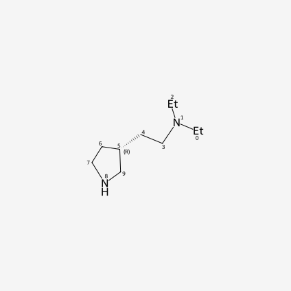 CCN(CC)CC[C@H]1CCNC1